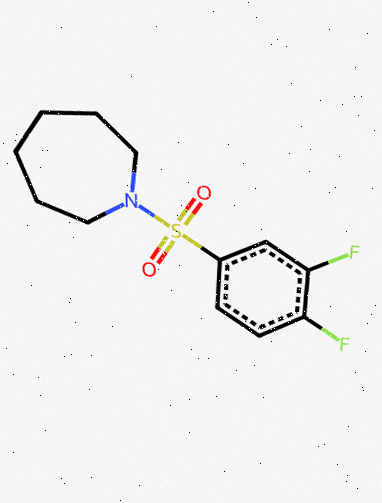 O=S(=O)(c1ccc(F)c(F)c1)N1CCCCCC1